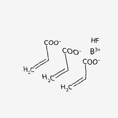 C=CC(=O)[O-].C=CC(=O)[O-].C=CC(=O)[O-].F.[B+3]